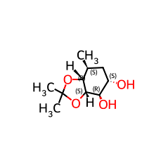 C[C@H]1C[C@H](O)[C@@H](O)[C@@H]2OC(C)(C)O[C@@H]21